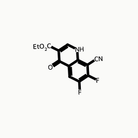 CCOC(=O)c1c[nH]c2c(C#N)c(F)c(F)cc2c1=O